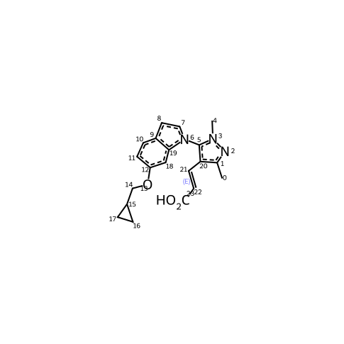 Cc1nn(C)c(-n2ccc3ccc(OCC4CC4)cc32)c1/C=C/C(=O)O